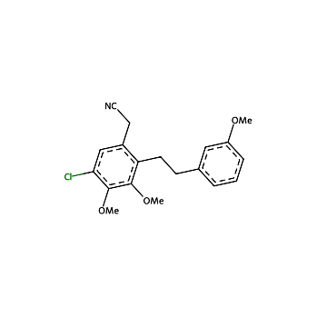 COc1cccc(CCc2c(CC#N)cc(Cl)c(OC)c2OC)c1